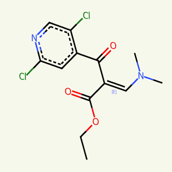 CCOC(=O)/C(=C/N(C)C)C(=O)c1cc(Cl)ncc1Cl